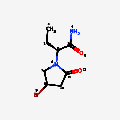 CC[C@@H](C(N)=O)N1CC(Br)CC1=O